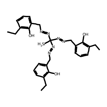 CCc1cccc(C/N=N/C([SiH3])(/N=N/Cc2cccc(CC)c2O)/N=N/Cc2cccc(CC)c2O)c1O